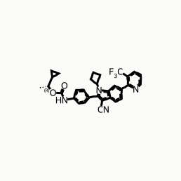 C[C@@H](OC(=O)Nc1ccc(-c2c(C#N)c3ccc(-c4ncccc4C(F)(F)F)cc3n2C2CCC2)cc1)C1CC1